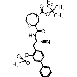 CC(C)(C)OC(=O)N1CCCO[C@H](C(=O)N[C@H](C#N)Cc2ccc(-c3ccccc3)cc2OS(C)(=O)=O)C1